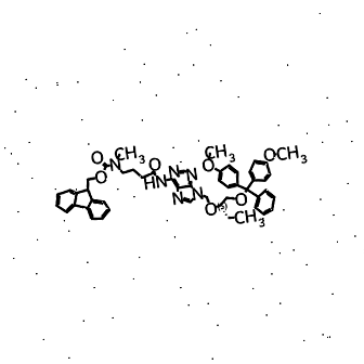 CC[C@@H](COC(c1ccccc1)(c1ccc(OC)cc1)c1ccc(OC)cc1)OCn1cnc2c(NC(=O)CCCN(C)C(=O)OCC3c4ccccc4-c4ccccc43)ncnc21